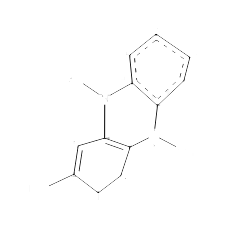 CC(=O)N1C2=C(CCC(C(F)(F)F)=C2)[S+]([O-])c2ccccc21